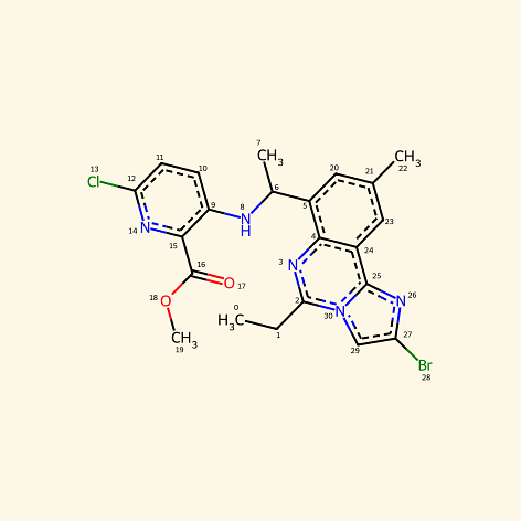 CCc1nc2c(C(C)Nc3ccc(Cl)nc3C(=O)OC)cc(C)cc2c2nc(Br)cn12